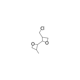 CC1COC1C1OCC1CCl